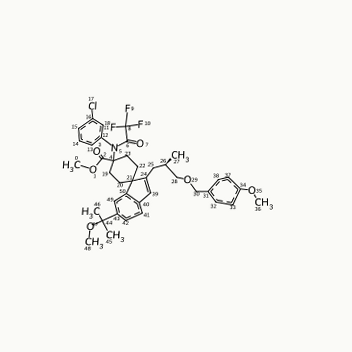 COC(=O)C1(N(C(=O)C(F)(F)F)c2cccc(Cl)c2)CCC2(CC1)C(C[C@@H](C)COCc1ccc(OC)cc1)=Cc1ccc(C(C)(C)OC)cc12